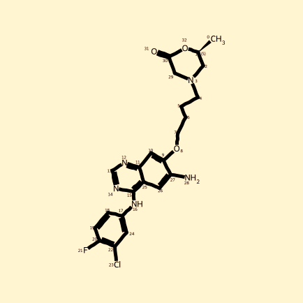 C[C@H]1CN(CCCCOc2cc3ncnc(Nc4ccc(F)c(Cl)c4)c3cc2N)CC(=O)O1